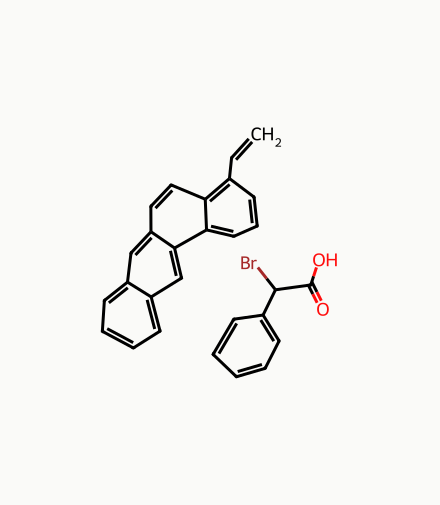 C=Cc1cccc2c1ccc1cc3ccccc3cc12.O=C(O)C(Br)c1ccccc1